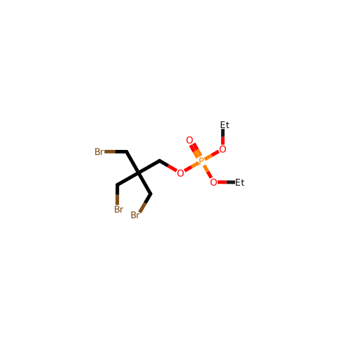 CCOP(=O)(OCC)OCC(CBr)(CBr)CBr